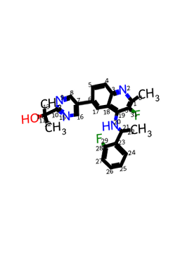 Cc1nc2ccc(-c3cnc(C(C)(C)O)nc3)cc2c(NC(C)c2ccccc2F)c1F